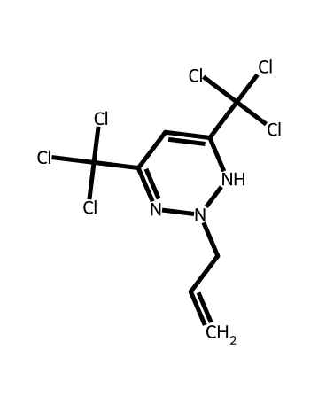 C=CCN1N=C(C(Cl)(Cl)Cl)C=C(C(Cl)(Cl)Cl)N1